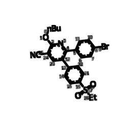 CCCCOc1nc(-c2ccc(Br)cc2)c(-c2ccc(S(=O)(=O)CC)cc2)cc1C#N